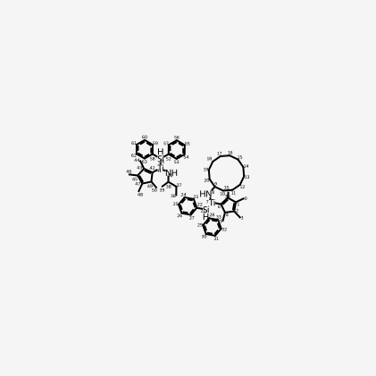 CC1=C(C)C(C)[C]([Ti]([NH]C2CCCCCCCCCCC2)[SiH](c2ccccc2)c2ccccc2)=C1C.CCC(C)[NH][Ti]([C]1=C(C)C(C)=C(C)C1C)[SiH](c1ccccc1)c1ccccc1